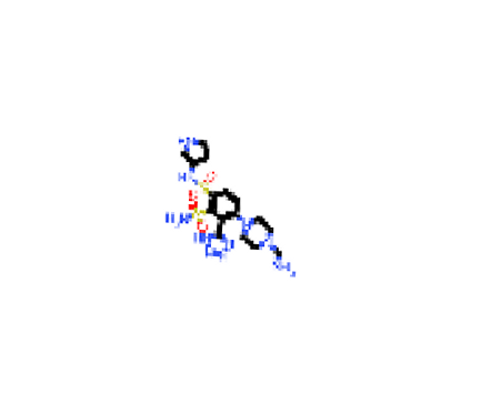 NCN1CCN(c2ccc(S(=O)(=O)NC3CCNC3)c(S(N)(=O)=O)c2-c2nnn[nH]2)CC1